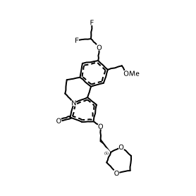 COCc1cc2c(cc1OC(F)F)CCn1c-2cc(OC[C@@H]2COCCO2)cc1=O